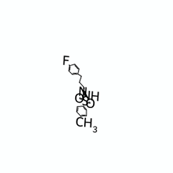 Cc1ccc(S(=O)(=O)NN=CCCc2ccc(F)cc2)cc1